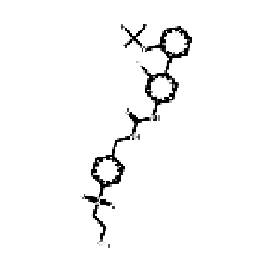 CCCS(=O)(=O)c1ccc(CNC(=O)Nc2ccc(-c3ccccc3OC(F)(F)F)c(Cl)c2)cc1